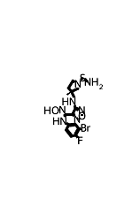 C[C@@]1(CNc2nonc2/C(=N/O)Nc2ccc(F)c(Br)c2)CCN(SN)C1